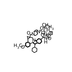 COc1ccc2c(c1)C1CC1(C(=O)N1CC3CC1CN3C(=O)OC(C)(C)C)Cn1c-2c(C2CCCCC2)c2ccc(C(=O)NS(=O)(=O)N3CCC3)cc21